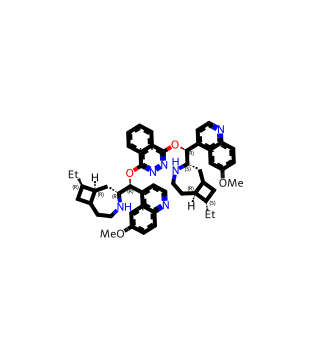 CC[C@@H]1CC2CCN[C@@H]([C@H](Oc3nnc(O[C@H](c4ccnc5ccc(OC)cc45)[C@@H]4CC5C[C@H](CC)[C@H]5CCN4)c4ccccc34)c3ccnc4ccc(OC)cc34)C[C@@H]21